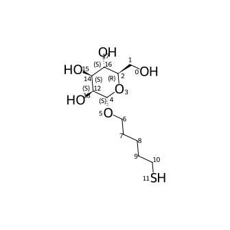 OC[C@H]1O[C@H](OCCCCCS)[C@@H](O)[C@@H](O)[C@@H]1O